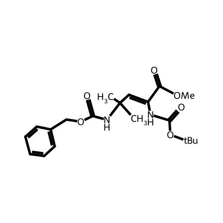 COC(=O)/C(=C/C(C)(C)NC(=O)OCc1ccccc1)NC(=O)OC(C)(C)C